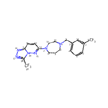 FC(F)(F)c1cccc(CN2CCCN(c3ccc4nnc(C(F)(F)F)n4n3)CC2)c1